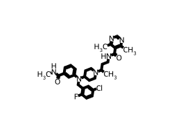 CNC(=O)c1cccc(N(Cc2cc(Cl)ccc2F)C2CCN(C(C)CCNC(=O)c3c(C)ncnc3C)CC2)c1